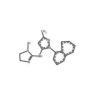 CC(=O)N1CCN=C1Nc1cc(C)nn1-c1cccc2ccccc12